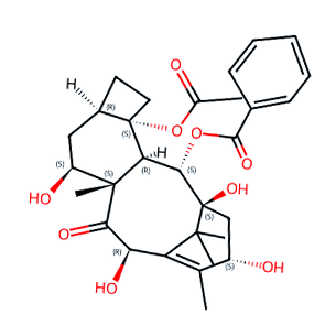 CC(=O)O[C@@]12CC[C@@H]1C[C@H](O)[C@@]1(C)C(=O)[C@H](O)C3=C(C)[C@@H](O)C[C@@](O)([C@@H](OC(=O)c4ccccc4)[C@H]21)C3(C)C